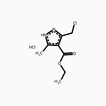 CCOC(=O)c1c(CCl)n[nH]c1C.Cl